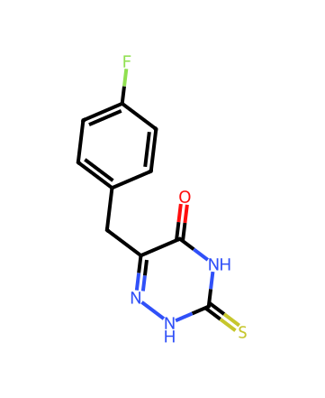 O=c1[nH]c(=S)[nH]nc1Cc1ccc(F)cc1